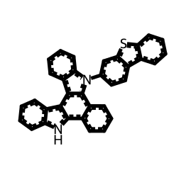 c1ccc2c(c1)[nH]c1c3ccccc3c3c(c4ccccc4n3-c3ccc4c(c3)sc3ccccc34)c21